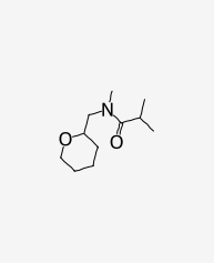 CC(C)C(=O)N(C)CC1CCCCO1